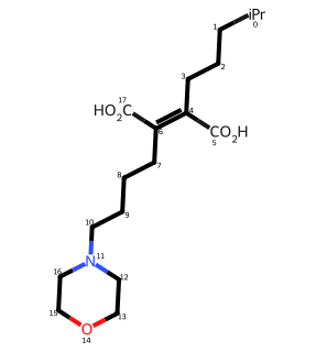 CC(C)CCC/C(C(=O)O)=C(/CCCCN1CCOCC1)C(=O)O